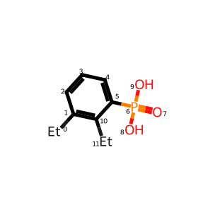 CCc1cccc(P(=O)(O)O)c1CC